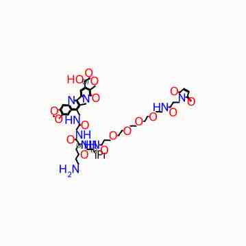 CC(C)[C@H](NC(=O)CCOCCOCCOCCOCCNC(=O)CCN1C(=O)C=CC1=O)C(=O)N[C@@H](CCCCN)C(=O)NCC(=O)NCc1c2c(nc3cc4c(cc13)OCO4)-c1cc3c(c(=O)n1C2)COC(=O)[C@H]3O